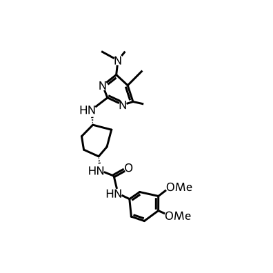 COc1ccc(NC(=O)N[C@H]2CC[C@@H](Nc3nc(C)c(C)c(N(C)C)n3)CC2)cc1OC